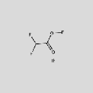 O=C(OF)C(F)F.[Tl]